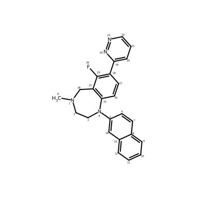 CN1CCN(c2ccc3ccccc3c2)c2ccc(-c3cccnn3)c(F)c2C1